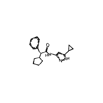 O=C(Nc1cc(C2CC2)[nH]n1)C(c1ccccc1)C1CCCC1